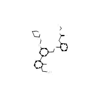 CCOC(=O)Cc1ccccc1OCc1cc(NC[C@H]2CCCO2)cc(-c2cccc([C@@H](C)N)c2F)c1